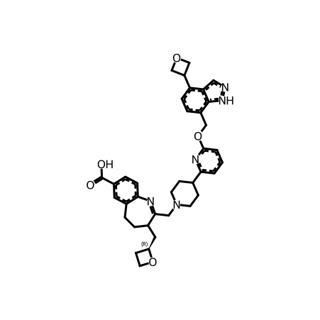 O=C(O)c1ccc2c(c1)CCC(C[C@@H]1CCO1)C(CN1CCC(c3cccc(OCc4ccc(C5COC5)c5cn[nH]c45)n3)CC1)=N2